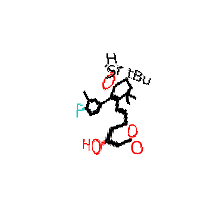 Cc1cc(C2=C(C=CC3CC(O)CC(=O)O3)C(C)(C)CC(C(C)(C)C)C2O[SiH](C)C)ccc1F